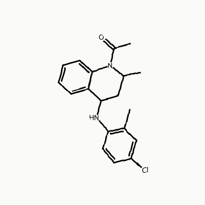 CC(=O)N1c2ccccc2C(Nc2ccc(Cl)cc2C)CC1C